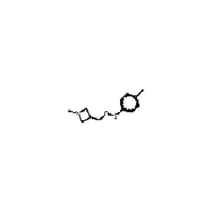 Cc1ccc(SOCC2CN(C)C2)cc1